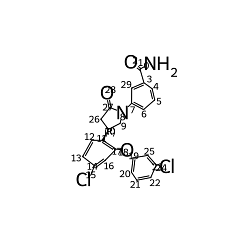 NC(=O)c1cccc(N2C[C@@H](c3ccc(Cl)cc3Oc3cccc(Cl)c3)CC2=O)c1